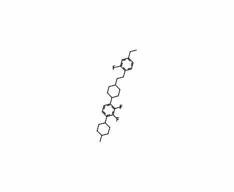 CCc1ccc(CCC2CCC(c3ccc(C4CCC(C)CC4)c(F)c3F)CC2)c(F)c1